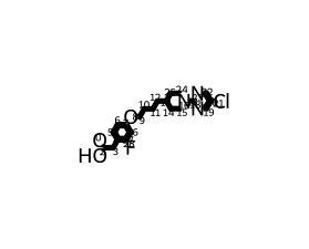 O=C(O)Cc1ccc(OCCCCC2CCN(c3ncc(Cl)cn3)CC2)cc1F